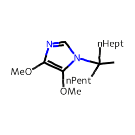 CCCCCCCC(C)(CCCCC)n1cnc(OC)c1OC